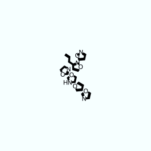 C1=NCCO1.C1COCN1.C=CCc1ccon1.c1ccoc1.c1cnoc1.c1cocn1